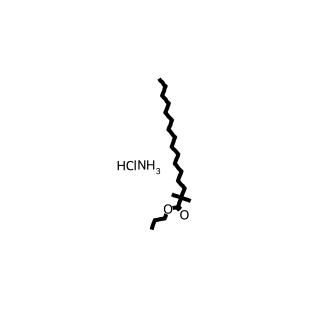 CCCCCCCCCCCCCCC(C)(C)C(=O)OCCC.Cl.N